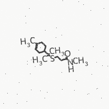 CNC(=O)CCSC(C)(C)C1CC=C(C)CC1